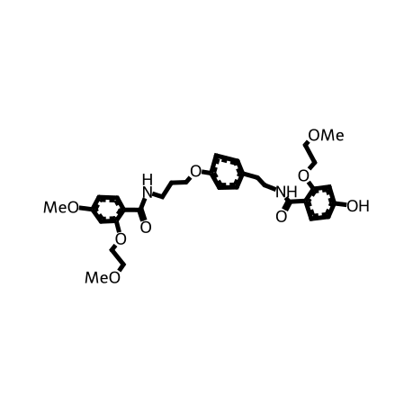 COCCOc1cc(OC)ccc1C(=O)NCCCOc1ccc(CCNC(=O)c2ccc(O)cc2OCCOC)cc1